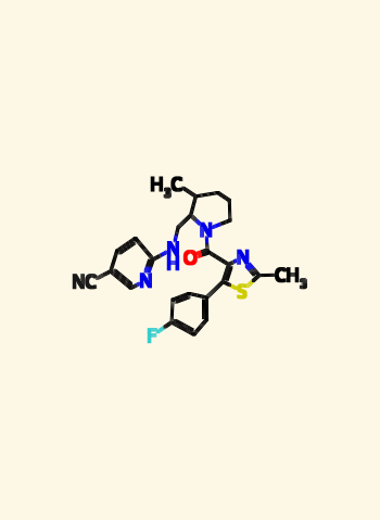 Cc1nc(C(=O)N2CCCC(C)C2CNc2ccc(C#N)cn2)c(-c2ccc(F)cc2)s1